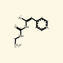 CC(=O)/C(=C/c1ccncc1)NC(=O)NCC(=O)O